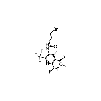 COC(=O)c1c(C(F)F)nc(C(F)(F)F)c(NC(=O)CCCBr)c1C